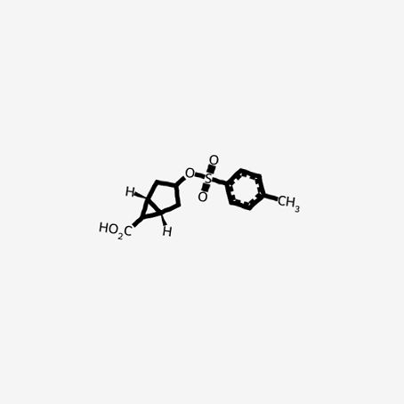 Cc1ccc(S(=O)(=O)OC2C[C@@H]3C(C(=O)O)[C@@H]3C2)cc1